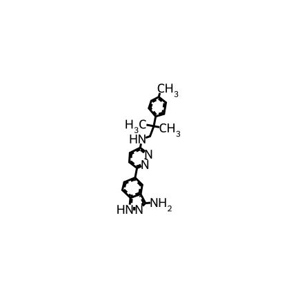 Cc1ccc(C(C)(C)CNc2ccc(-c3ccc4[nH]nc(N)c4c3)nn2)cc1